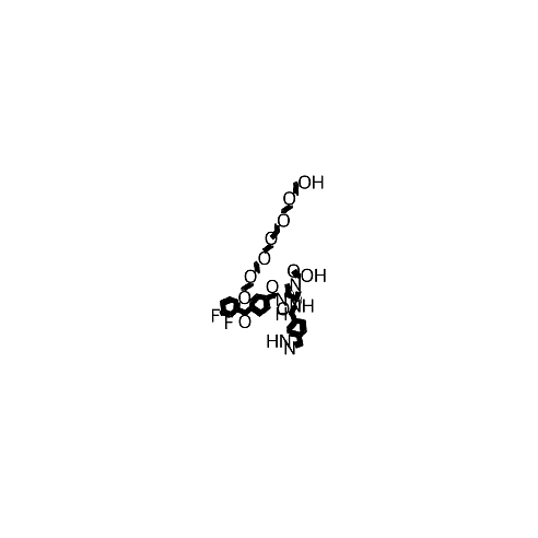 O=C(N[C@@H]1CN(C(=O)O)C[C@H]1NC(=O)c1ccc2cn[nH]c2c1)c1ccc(C(=O)c2c(OCCOCCOCCOCCOCCOCCO)ccc(F)c2F)cc1